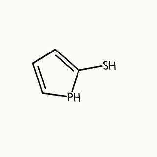 Sc1ccc[pH]1